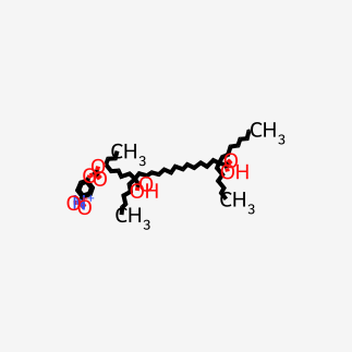 CCCCCCCCC(CCCCCC)(CCCCCCCCCCCCCC(CCCCCC)(CCCCC(CCC)OC(=O)Oc1ccc([N+](=O)[O-])cc1)C(=O)O)C(=O)O